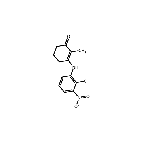 CC1=C(Nc2cccc([N+](=O)[O-])c2Cl)CCCC1=O